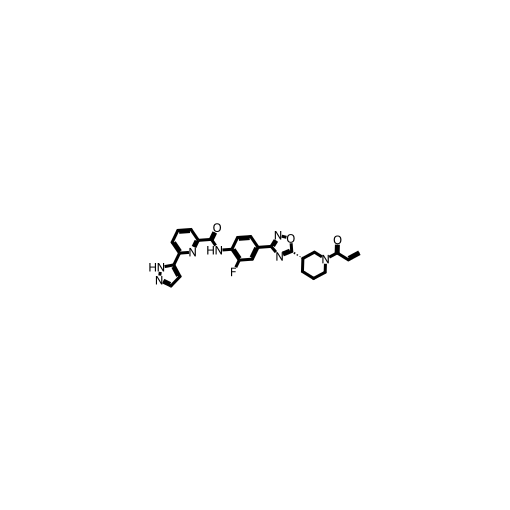 C=CC(=O)N1CCC[C@H](c2nc(-c3ccc(NC(=O)c4cccc(-c5ccn[nH]5)n4)c(F)c3)no2)C1